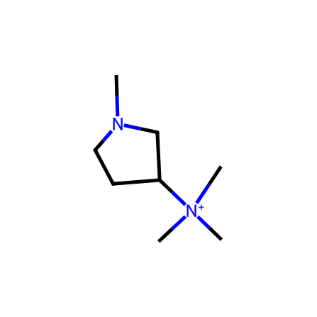 CN1CCC([N+](C)(C)C)C1